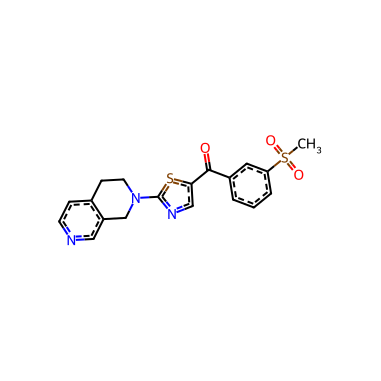 CS(=O)(=O)c1cccc(C(=O)c2cnc(N3CCc4ccncc4C3)s2)c1